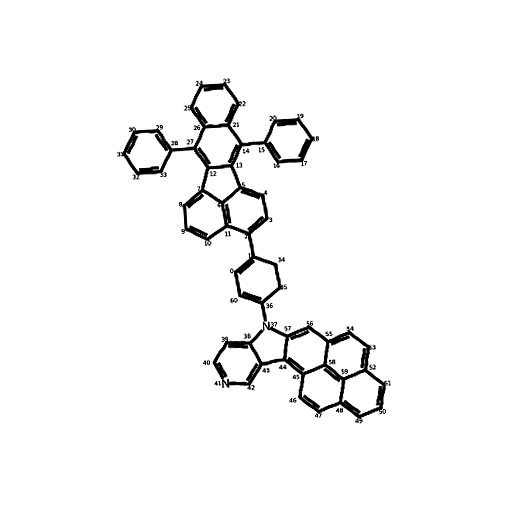 C1=C(c2ccc3c4c(cccc24)-c2c-3c(-c3ccccc3)c3ccccc3c2-c2ccccc2)CCC(n2c3ccncc3c3c4ccc5cccc6ccc(cc32)c4c65)=C1